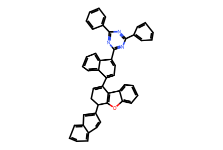 C1=C(c2ccc(-c3nc(-c4ccccc4)nc(-c4ccccc4)n3)c3ccccc23)c2c(oc3ccccc23)C(c2ccc3ccccc3c2)C1